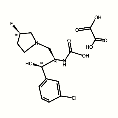 O=C(O)C(=O)O.O=C(O)N[C@H](CN1CC[C@@H](F)C1)[C@H](O)c1cccc(Cl)c1